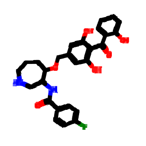 O=C(NC1CNCCCC1OCc1cc(O)c(C(=O)c2ccccc2O)c(O)c1)c1ccc(F)cc1